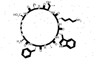 CC(C)[C@@H]1NC(=O)[C@H]([C@@H](C)O)NC(=O)[C@H](CCCCN)NC(=O)[C@H](Cc2c[nH]c3ccccc23)NC(=O)[C@H](C)NC(=O)[C@H](Cc2ccccc2)NC(=O)[C@@H](N)CSSC[C@@H](C(=O)O)NC1=O